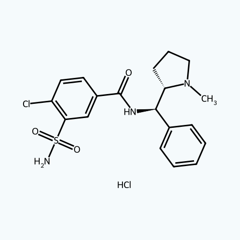 CN1CCC[C@H]1[C@H](NC(=O)c1ccc(Cl)c(S(N)(=O)=O)c1)c1ccccc1.Cl